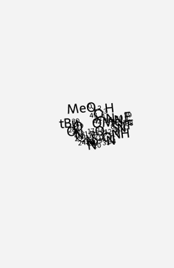 COc1ccc(CNc2cc(Nc3cc(OC4CC4)c(-c4cnn([C@@H]5CCN(C(=O)OC(C)(C)C)C5)c4)cn3)nc(C(F)F)n2)c(OC)c1